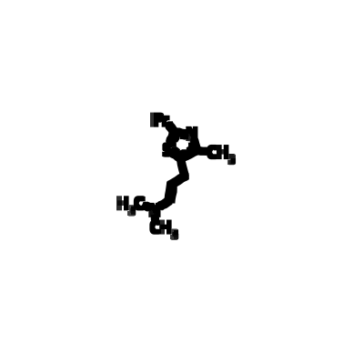 Cc1nc(C(C)C)sc1CC=CN(C)C